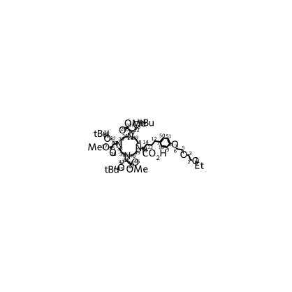 CCOCCOCCOc1ccc(CCC[C@@H](C(=O)O)N2CCN([C@H](COC(C)(C)C)C(=O)OC)CCN([C@@H](COC(C)(C)C)C(=O)OC)CCN([C@@H](COC(C)(C)C)C(=O)OC)CC2)cc1